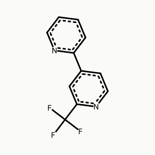 FC(F)(F)c1cc(-c2ccccn2)ccn1